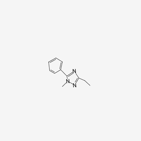 CCc1nc(-c2ccccc2)n(C)n1